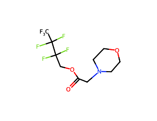 O=C(CN1CCOCC1)OCC(F)(F)C(F)(F)C(F)(F)F